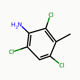 Cc1c(Cl)cc(Cl)c(N)c1Cl